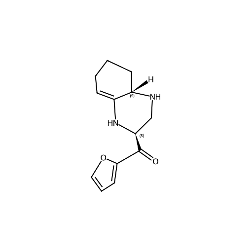 O=C(c1ccco1)[C@@H]1CN[C@H]2CCCC=C2N1